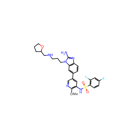 COc1ncc(-c2ccc3nc(N)n(CCCNCC4CCCO4)c3c2)cc1NS(=O)(=O)c1ccc(F)cc1F